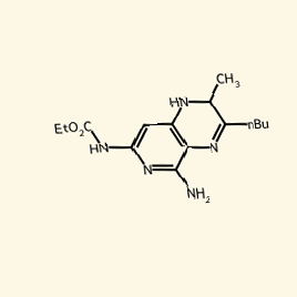 CCCCC1=Nc2c(cc(NC(=O)OCC)nc2N)NC1C